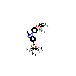 CCc1nc2cc(B3OC(C)(C)C(C)(C)O3)ccc2n1[C@H]1CC[C@H](O[Si](C)(C)C(C)(C)C)CC1